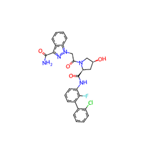 NC(=O)c1nn(CC(=O)N2C[C@@H](O)C[C@H]2C(=O)Nc2cccc(-c3ccccc3Cl)c2F)c2ccccc12